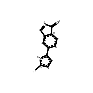 O=C1N=Cc2cc(-c3ccc(I)s3)ccc21